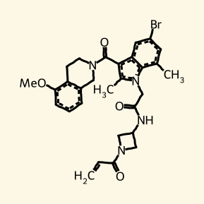 C=CC(=O)N1CC(NC(=O)Cn2c(C)c(C(=O)N3CCc4c(cccc4OC)C3)c3cc(Br)cc(C)c32)C1